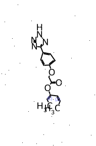 C/C=C\C(=C/C)OC(=O)COc1ccc(-c2nn[nH]n2)cc1